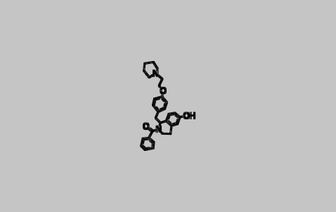 O=C(c1ccccc1)N1CCc2cc(O)ccc2C1Cc1ccc(OCCN2CCCCC2)cc1